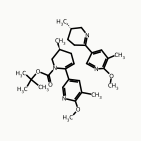 COc1ncc(C2=CC[C@H](C)CN2C(=O)OC(C)(C)C)cc1C.COc1ncc(C2=NC[C@@H](C)CC2)cc1C